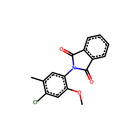 COc1cc(Cl)c(C)cc1N1C(=O)c2ccccc2C1=O